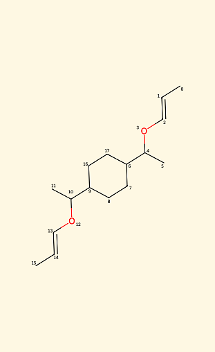 CC=COC(C)C1CCC(C(C)OC=CC)CC1